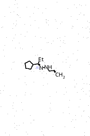 C=CCN/N=C(\CC)C1CCCC1